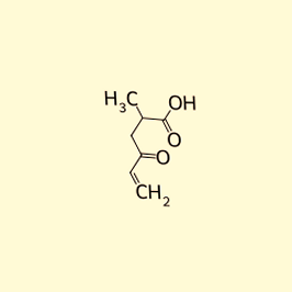 C=CC(=O)CC(C)C(=O)O